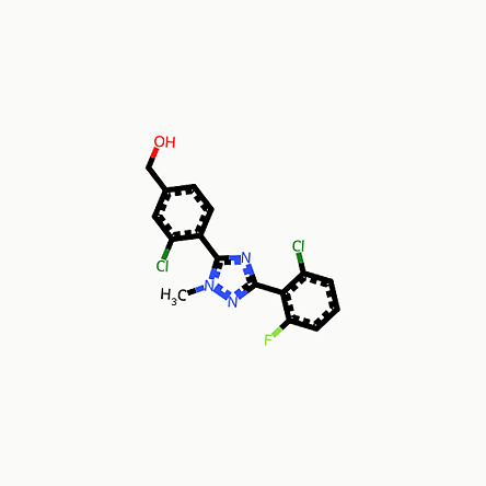 Cn1nc(-c2c(F)cccc2Cl)nc1-c1ccc(CO)cc1Cl